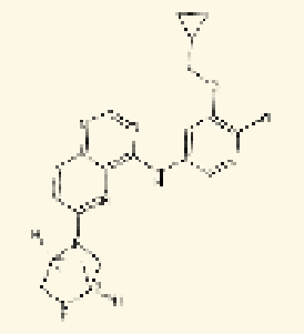 Clc1ccc(Nc2ncnc3ccc(N4C[C@@H]5C[C@H]4CN5)nc23)cc1OCC1CC1